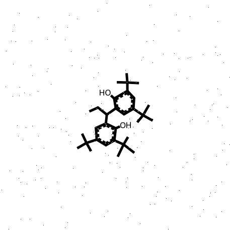 CCC(c1cc(C(C)(C)C)cc(C(C)(C)C)c1O)c1cc(C(C)(C)C)cc(C(C)(C)C)c1O